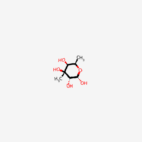 C[C@H]1O[C@H](O)[C@H](O)[C@](C)(O)[C@H]1O